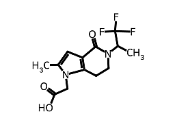 Cc1cc2c(n1CC(=O)O)CCN(C(C)C(F)(F)F)C2=O